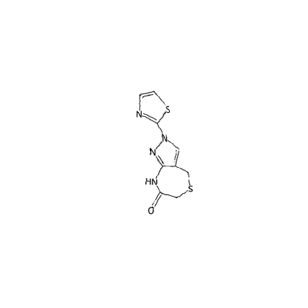 O=C1CSCc2cn(-c3nccs3)nc2N1